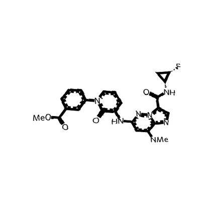 CNc1cc(Nc2cccn(-c3cccc(C(=O)OC)c3)c2=O)nn2c(C(=O)N[C@@H]3C[C@@H]3F)cnc12